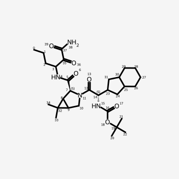 CCCC(NC(=O)[C@@H]1C2C(CN1C(=O)[C@@H](NC(=O)OC(C)(C)C)C1CC3CCCCC3C1)C2(C)C)C(=O)C(N)=O